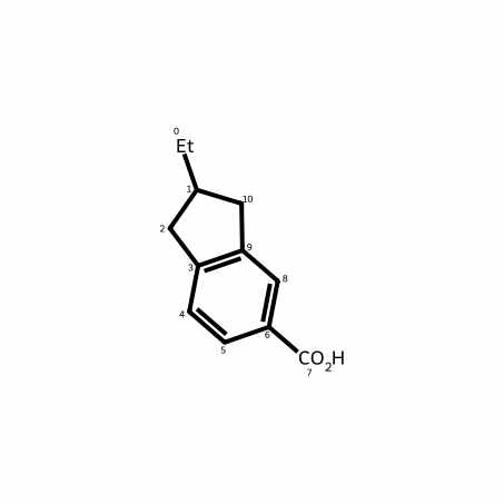 CCC1Cc2ccc(C(=O)O)cc2C1